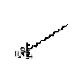 CCCCCCCCC=CCCCCCCCCN[C@@H](CS)C(N)=O